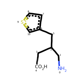 NCC(CC(=O)O)Cc1ccsc1